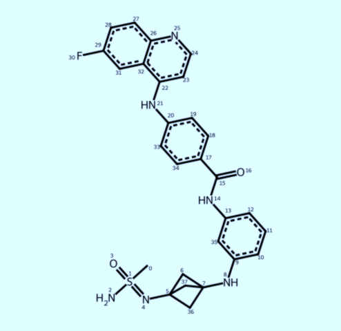 CS(N)(=O)=NC12CC(Nc3cccc(NC(=O)c4ccc(Nc5ccnc6ccc(F)cc56)cc4)c3)(C1)C2